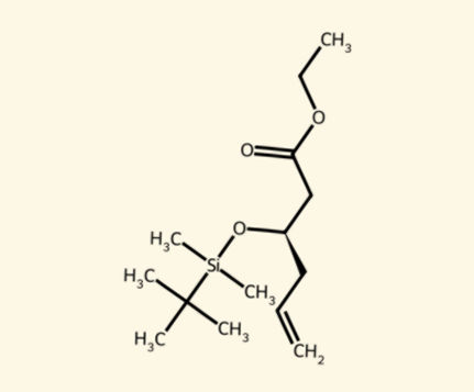 C=CC[C@H](CC(=O)OCC)O[Si](C)(C)C(C)(C)C